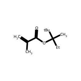 C=C(C)C(=O)OC(C)(CC)C(C)(C)C